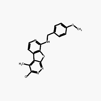 COc1ccc(CNc2nccc3c2sc2nnc(Cl)c(C)c23)cc1